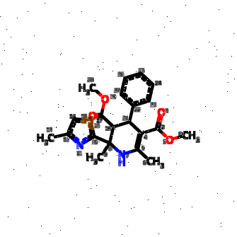 COC(=O)C1=C(C)NC(C)(c2nc(C)cs2)C(C(=O)OC)C1c1ccccc1